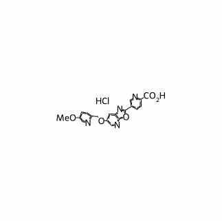 COc1ccc(COc2cnc3oc(-c4ccc(C(=O)O)nc4)nc3c2)nc1.Cl